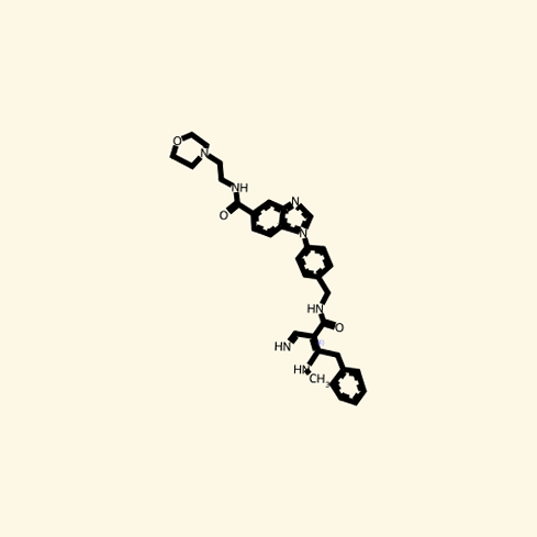 CN/C(Cc1ccccc1)=C(\C=N)C(=O)NCc1ccc(-n2cnc3cc(C(=O)NCCN4CCOCC4)ccc32)cc1